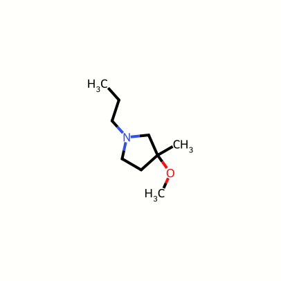 CCCN1CCC(C)(OC)C1